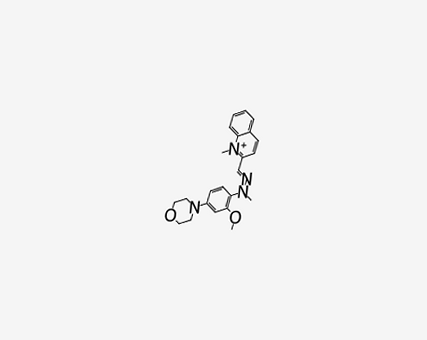 COc1cc(N2CCOCC2)ccc1N(C)/N=C/c1ccc2ccccc2[n+]1C